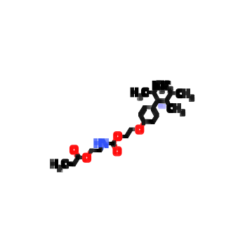 C=CC(=O)OCCNC(=O)OCCOc1ccc(/C(=C(\C)C(C)C)C(C)C)cc1